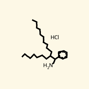 CCCCCCCCCCC(CCCCCCC)C(CN)c1ccccc1.Cl